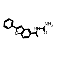 CC(NC(N)=O)c1ccc2oc(-c3ccccc3)cc2c1